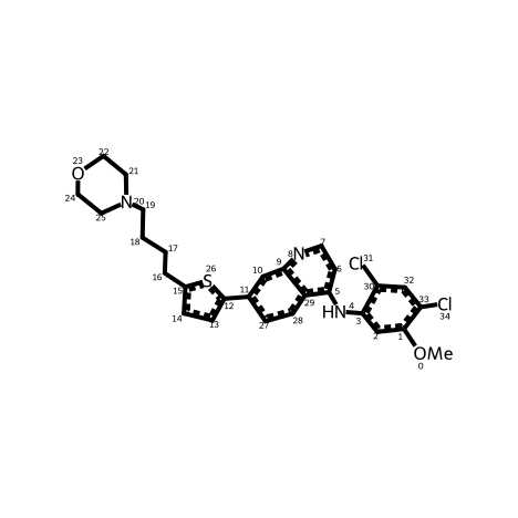 COc1cc(Nc2ccnc3cc(-c4ccc(CCCCN5CCOCC5)s4)ccc23)c(Cl)cc1Cl